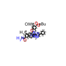 CCCCOC(=O)c1cc(CN(C(=O)[C@@H](N)Cc2c(C)cc(C(N)=O)cc2C)[C@@H](C)c2nc(-c3ccccc3)c[nH]2)ccc1OC